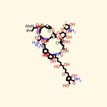 CN[C@H](CC(C)C)C(=O)N[C@H]1C(=O)C[C@@H](CC(N)=O)C(=O)N[C@H]2C(=O)C[C@@H](C(N)=O)c3ccc(O)c(c3)-c3c(O)cc(O)cc3C(C(=O)CCCC(O)C(O)CCC(=O)Cc3ccc(CO)c(C(N)=O)c3O)NC(=O)C[C@H](O)c3ccc(c(Cl)c3)Oc3cc2cc(c3OC2O[C@@H](CO)[C@@H](O)[C@H](O)[C@@H]2O[C@@H]2C[C@](C)(N)[C@H](O)[C@@H](C)O2)Oc2ccc(cc2Cl)[C@H]1O